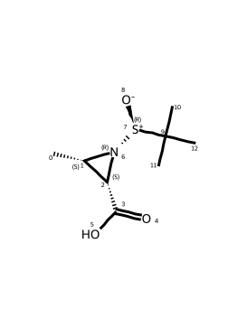 C[C@H]1[C@@H](C(=O)O)[N@@]1[S@@+]([O-])C(C)(C)C